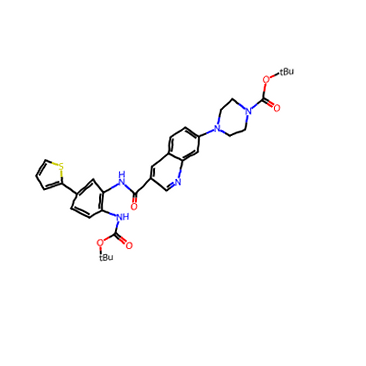 CC(C)(C)OC(=O)Nc1ccc(-c2cccs2)cc1NC(=O)c1cnc2cc(N3CCN(C(=O)OC(C)(C)C)CC3)ccc2c1